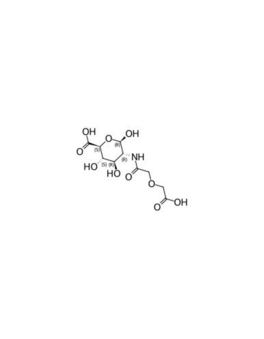 O=C(O)COCC(=O)N[C@@H]1[C@@H](O)[C@H](O)[C@@H](C(=O)O)O[C@H]1O